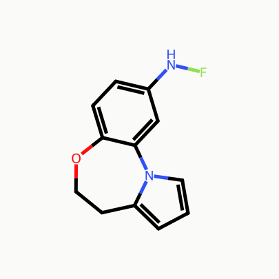 FNc1ccc2c(c1)-n1cccc1CCO2